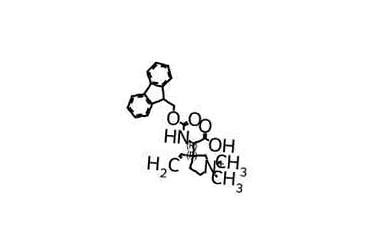 C=C[C@]1([C@@H](NC(=O)OCC2c3ccccc3-c3ccccc32)C(=O)O)CC[N+](C)(C)C1